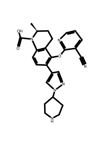 C[C@H]1CCc2c(ccc(-c3cnn(C4CCNCC4)c3)c2Oc2ncccc2C#N)N1C(=O)O